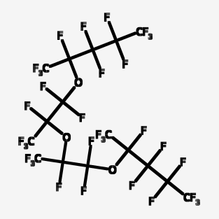 FC(F)(F)C(F)(F)C(F)(F)C(F)(OC(F)(F)C(F)(OC(F)(C(F)(F)F)C(F)(F)OC(F)(C(F)(F)F)C(F)(F)C(F)(F)C(F)(F)F)C(F)(F)F)C(F)(F)F